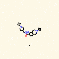 O=C(NCC1CCN(C2CCC2)CC1)c1ccc2c(c1)CCN(C1=CC=C1)CC2